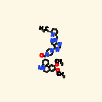 CCc1cccc(Cn2ncc3c(N4CCN(C(=O)[C@H]5CC[C@@]6(CC5)NCCc5cc(OC)c(OC)cc56)CC4)ncnc32)n1